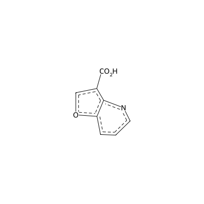 O=C(O)c1coc2cccnc12